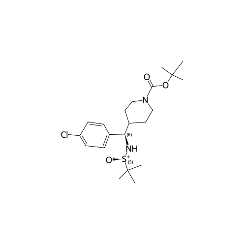 CC(C)(C)OC(=O)N1CCC([C@@H](N[S@+]([O-])C(C)(C)C)c2ccc(Cl)cc2)CC1